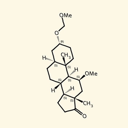 COCO[C@@H]1CC[C@@]2(C)[C@@H](CC[C@@H]3[C@@H]2[C@@H](OC)C[C@]2(C)C(=O)CC[C@@H]32)C1